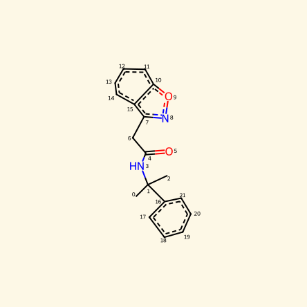 CC(C)(NC(=O)Cc1noc2ccccc12)c1ccccc1